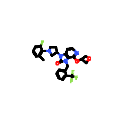 Cc1cccc(F)c1N1CC[C@@H](n2c(=O)n(Cc3ccccc3C(F)(F)F)c3c(OC4COC4)nccc32)C1